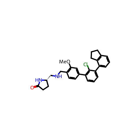 COc1cc(-c2cccc(-c3cccc4c3CCC4)c2Cl)ccc1CNC[C@@H]1CCC(=O)N1